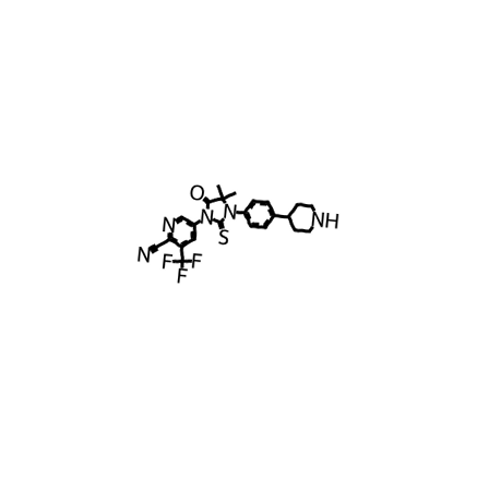 CC1(C)C(=O)N(c2cnc(C#N)c(C(F)(F)F)c2)C(=S)N1c1ccc(C2CCNCC2)cc1